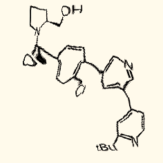 CC(C)(C)c1cc(-c2cncc(-c3ccc(C(=O)N4CCC[C@H]4CO)cc3Cl)c2)ccn1